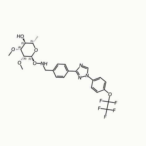 CO[C@@H]1[C@@H](O)[C@H](C)O[C@@H](ONCc2ccc(-c3ncn(-c4ccc(OC(F)(F)C(F)(F)F)cc4)n3)cc2)[C@@H]1OC